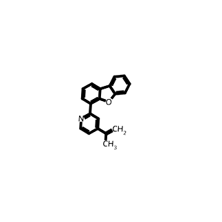 C=C(C)c1ccnc(-c2cccc3c2oc2ccccc23)c1